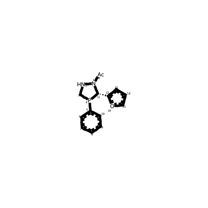 CC(=O)N1NCP(c2ccccc2)[C@H]1c1ccco1